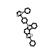 c1ccc(-c2nc3ccc4c(c5ccccc5n4-c4ccc(-c5nccn5-c5ccccc5)cc4)c3o2)cc1